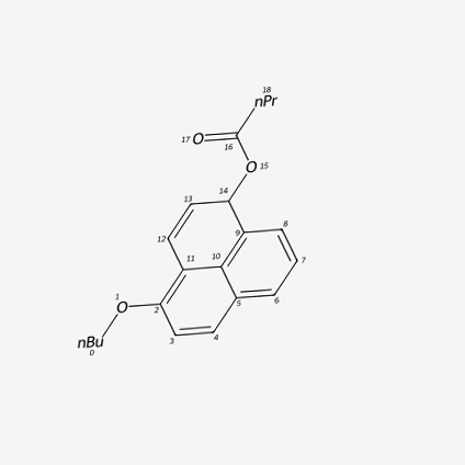 CCCCOc1ccc2cccc3c2c1C=CC3OC(=O)CCC